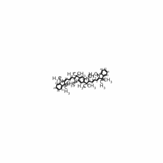 CN1C(=CC=CC2=[N+](C)c3cc4c(cc3C2(C)C)[N+](C)=C(C=CC=C2N(C)c3ccccc3C2(C)C)C4(C)C)C(C)(C)c2ccccc21